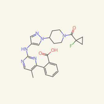 Cc1cnc(Nc2cnn(C3CCN(C(=O)C4(F)CC4)CC3)c2)nc1-c1ccccc1C(=O)O